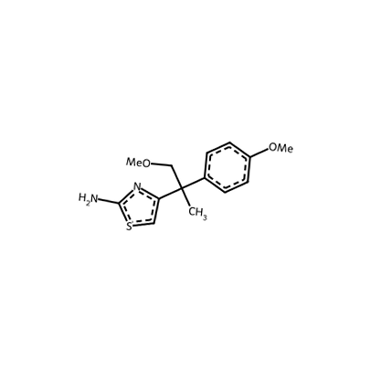 COCC(C)(c1ccc(OC)cc1)c1csc(N)n1